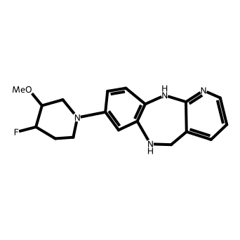 COC1CN(c2ccc3c(c2)NCc2cccnc2N3)CCC1F